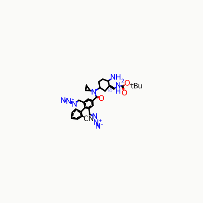 CC(C)(C)OC(=O)N/C=C1/CC(N(C(=O)c2cc(CN=[N+]=[N-])c(-c3ccccc3C#N)c(CN=[N+]=[N-])c2)C2CC2)CCC1N